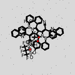 Cc1ccccc1-c1c2/c(=C(\C#N)c3cnc4ccccc4n3)n(B(c3ccccc3)c3ccccc3)c(-c3ccc(OS(=O)(=O)C(F)(F)C(F)(F)C(F)(F)S(=O)(=O)NS(=O)(=O)C(F)(F)F)cc3)c2/c(=C(\C#N)c2cnc3ccccc3n2)n1B(c1ccccc1)c1ccccc1